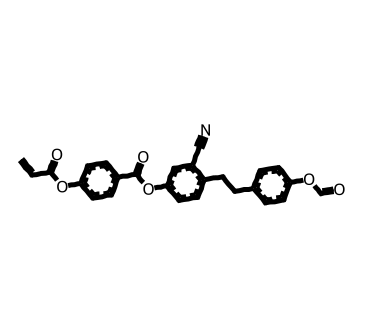 C=CC(=O)Oc1ccc(C(=O)Oc2ccc(CCc3ccc(OC=O)cc3)c(C#N)c2)cc1